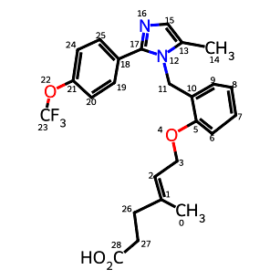 C/C(=C\COc1ccccc1Cn1c(C)cnc1-c1ccc(OC(F)(F)F)cc1)CCC(=O)O